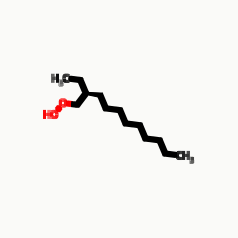 CCCCCCCCC[C@H](CC)COO